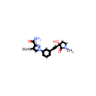 CNc1cn(-c2cccc(C#C[C@]3(O)CCN(C)C3=O)c2)nc1C(N)=O